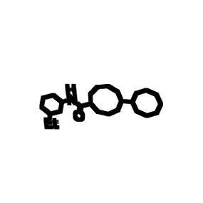 CCC1CCC[C@@H](NC(=O)C2CCCCC(C3CCCCCCC3)CCC2)C1